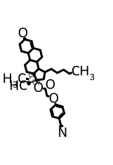 C#C[C@]1(OC(=O)COc2ccc(C#N)cc2)CC(CCCCC)C2C3CCC4=CC(=O)CCC4C3CC[C@@]21CC